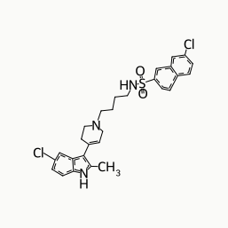 Cc1[nH]c2ccc(Cl)cc2c1C1=CCN(CCCCNS(=O)(=O)c2ccc3ccc(Cl)cc3c2)CC1